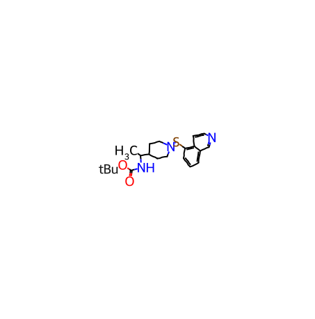 CC(NC(=O)OC(C)(C)C)C1CCN(Sc2cccc3cnccc23)CC1